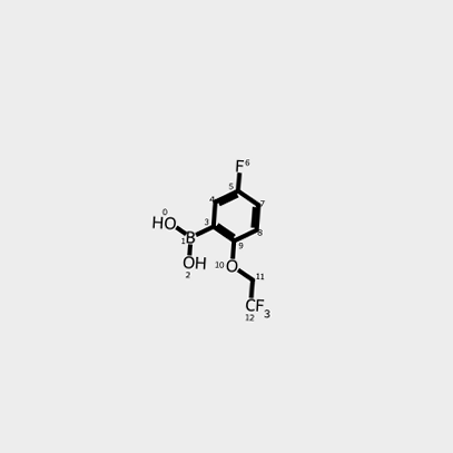 OB(O)c1cc(F)ccc1OCC(F)(F)F